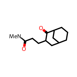 CNC(=O)CCC1CC2CCCC(C2)C1=O